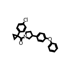 O=C(N1CCC(c2ccc(Oc3ccccc3)cc2)C1)C1(c2ccc(Cl)cc2)CC1